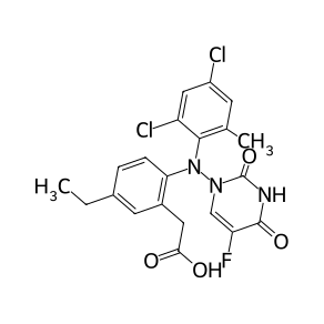 CCc1ccc(N(c2c(C)cc(Cl)cc2Cl)n2cc(F)c(=O)[nH]c2=O)c(CC(=O)O)c1